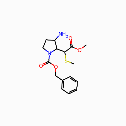 COC(=O)C(SC)C1C(N)CCN1C(=O)OCc1ccccc1